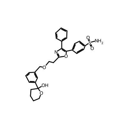 NS(=O)(=O)c1ccc(-c2oc(CCOCc3cccc(C4(O)CCCCO4)c3)nc2-c2ccccc2)cc1